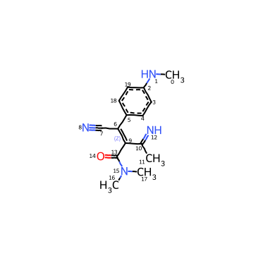 CNc1ccc(/C(C#N)=C(\C(C)=N)C(=O)N(C)C)cc1